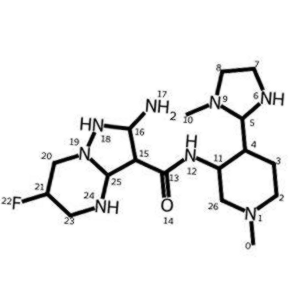 CN1CCC(C2NCCN2C)C(NC(=O)C2C(N)NN3CC(F)CNC23)C1